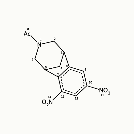 CC(=O)N1CC2CC(C1)c1c2cc([N+](=O)[O-])cc1[N+](=O)[O-]